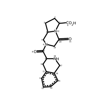 O=C(O)C1CCC2CN(C(=O)C3Cc4ccccc4CN3)CC(=O)N21